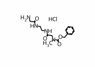 CN(CC(=O)NCCNC(=O)CN)C(=O)OCc1ccccc1.Cl